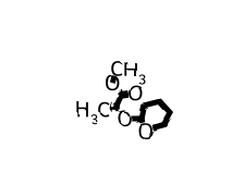 COC(=O)[C@H](C)OC1CCCCO1